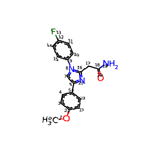 COc1ccc(-c2cn(-c3ccc(F)cc3)c(CC(N)=O)n2)cc1